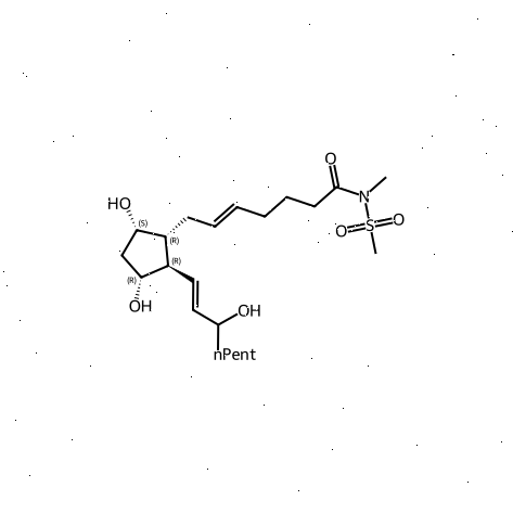 CCCCCC(O)C=C[C@@H]1[C@@H](CC=CCCCC(=O)N(C)S(C)(=O)=O)[C@@H](O)C[C@H]1O